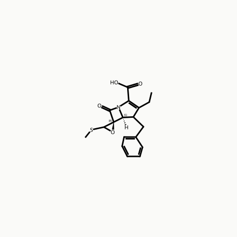 CCC1=C(C(=O)O)N2C(=O)[C@]3(OC3SC)[C@@H]2C1Cc1ccccc1